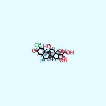 C[C@]12C=C(Cl)C(=O)C=C1C(F)C[C@H]1[C@@H]3CC(O)[C@](O)(C(=O)CO)[C@@]3(C)CC(O)[C@@]12F